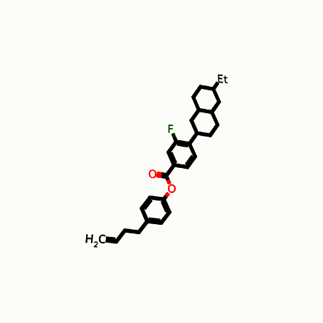 C=CCCc1ccc(OC(=O)c2ccc(C3CCC4CC(CC)CCC4C3)c(F)c2)cc1